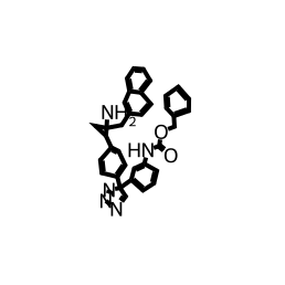 NC1(Cc2ccc3ccccc3c2)CC1c1ccc(C2(c3cccc(NC(=O)OCc4ccccc4)c3)C=NN=N2)cc1